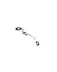 COc1ccc(Cn2ncc3ccc(OCCCCN4CCN(c5cccc(Cl)c5Cl)CC4)nc32)cc1